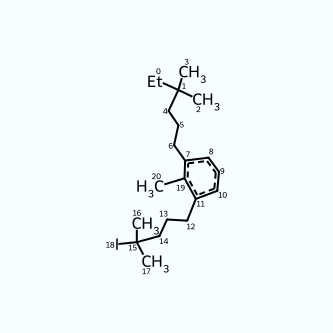 CCC(C)(C)CCCc1cccc(CCCC(C)(C)I)c1C